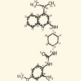 COc1ccc(NC(=O)N[C@H]2CC[C@@H](Nc3cc(N(C)C)c4ccccc4n3)CC2)c(C)c1